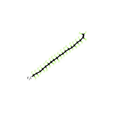 FC(F)=C(F)C(F)(F)C(F)(F)C(F)(F)C(F)(F)C(F)(F)C(F)(F)C(F)(F)C(F)(F)C(F)(F)C(F)(F)C(F)(F)C(F)(F)C(F)(F)C(F)(F)C(F)(F)C(F)(F)C(F)(F)C(F)(F)F